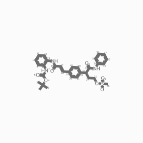 CC(C)(C)OC(=O)Nc1ccccc1NC(=O)/C=C/c1ccc(C(CCOS(C)(=O)=O)C(=O)Nc2ccccc2)cc1